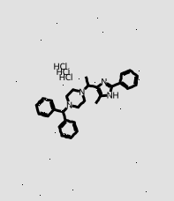 Cc1[nH]c(-c2ccccc2)nc1C(C)N1CCN(C(c2ccccc2)c2ccccc2)CC1.Cl.Cl.Cl